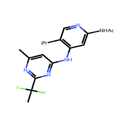 CC(=O)Nc1cc(Nc2cc(C)nc(C(C)(F)F)n2)c(C(C)C)cn1